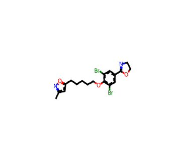 Cc1cc(CCCCCOc2c(Br)cc(C3=NCCO3)cc2Br)on1